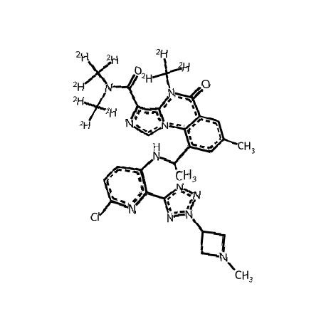 [2H]C([2H])([2H])N(C(=O)c1ncn2c3c(C(C)Nc4ccc(Cl)nc4-c4nnn(C5CN(C)C5)n4)cc(C)cc3c(=O)n(C([2H])([2H])[2H])c12)C([2H])([2H])[2H]